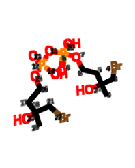 CC(O)(CBr)CCOP(=O)(O)OP(=O)(O)OCCC(C)(O)CBr